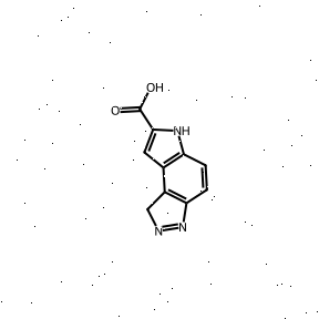 O=C(O)c1cc2c3c(ccc2[nH]1)N=NC3